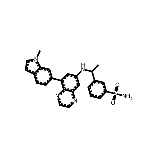 CC(Nc1cc(-c2ccc3ccn(C)c3c2)c2nccnc2c1)c1cccc(S(N)(=O)=O)c1